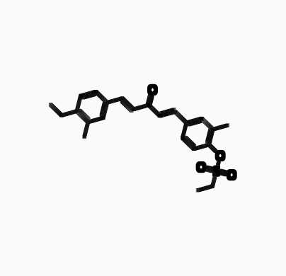 CCc1ccc(/C=C/C(=O)/C=C/c2ccc(OS(=O)(=O)CC)c(C)c2)cc1C